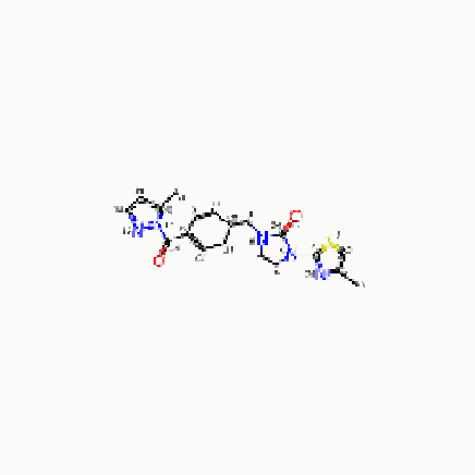 Cc1csc(N2CCN(CC3C=CC(C(=O)n4nccc4C)=CC3)C2=O)n1